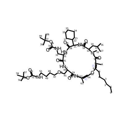 CCCCCC/C1=C(\C)C(=O)N(C)C(CC(C)C)C(=O)NC(C2CCCCC2)C(=O)NC(CNC(=O)OC(C)(C)C)C(=O)NC(COCCCCNC(=O)OC(C)(C)C)C(=O)N/C(C)=C\O1